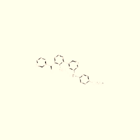 COc1ccc(Nc2cncc(-c3cccc(C(=O)c4cccnc4)c3N)c2)cc1